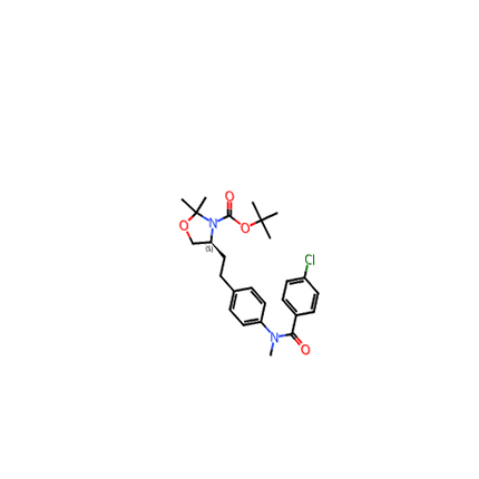 CN(C(=O)c1ccc(Cl)cc1)c1ccc(CC[C@H]2COC(C)(C)N2C(=O)OC(C)(C)C)cc1